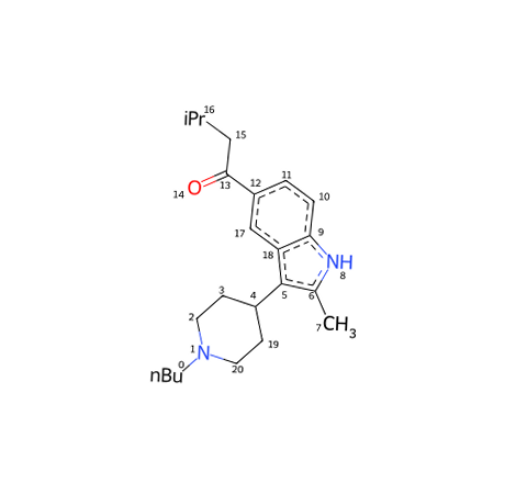 CCCCN1CCC(c2c(C)[nH]c3ccc(C(=O)CC(C)C)cc23)CC1